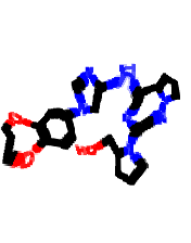 OCC1CCCN1c1nc(Nc2cn(-c3ccc4c(c3)OCCO4)cn2)c2cccn2n1